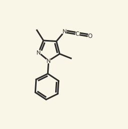 Cc1nn(-c2ccccc2)c(C)c1N=C=O